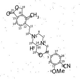 COc1cc([C@H]2CN3CCN(CCc4ccc5c(c4C)COC5=O)C[C@@H]3CO2)ccc1C#N